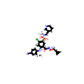 Cc1cc(I)ccc1Nc1c(C(=O)NOCC2CC2)cc(S(=O)(=O)N(C)Cc2cccnc2)c(F)c1F